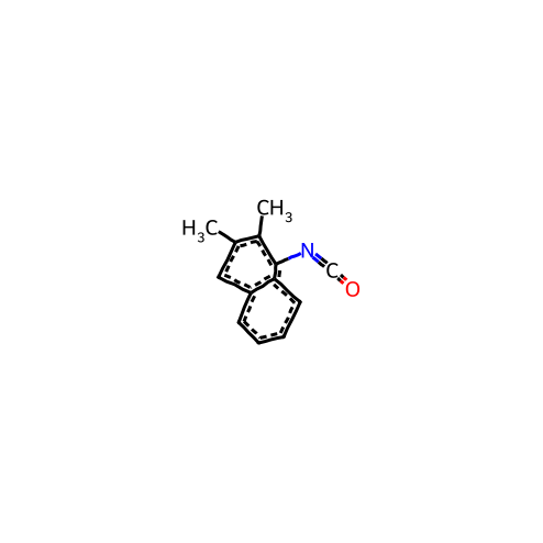 Cc1cc2ccccc2c(N=C=O)c1C